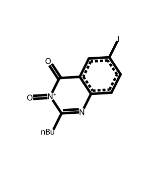 CCCCC1=Nc2ccc(I)cc2C(=O)[N+]1=O